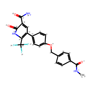 CNC(=O)c1ccc(COc2ccc(-c3cc(C(N)=O)c(=O)[nH]c3C(F)(F)F)cc2)cc1